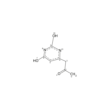 CC(=O)Cc1cc(O)nc(O)n1